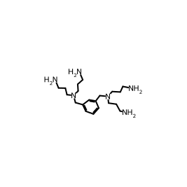 NCCCN(CCCN)Cc1cccc(CN(CCCN)CCCN)c1